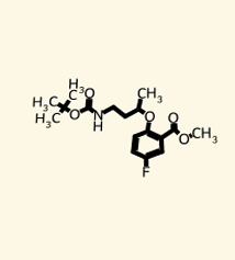 COC(=O)c1cc(F)ccc1OC(C)CCNC(=O)OC(C)(C)C